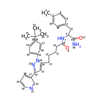 Cc1ccc(CC(NC(=O)CCCCc2cc(-c3cccnc3)nn2-c2ccc(C(C)(C)C)cc2)C(N)=O)cc1